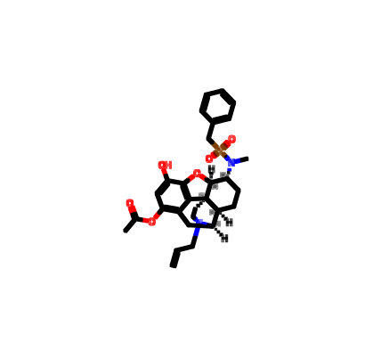 C=CCN1CC[C@]23c4c5c(OC(C)=O)cc(O)c4O[C@H]2[C@H](N(C)S(=O)(=O)Cc2ccccc2)CC[C@H]3[C@H]1C5